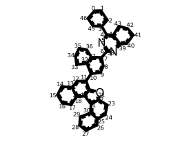 c1ccc(-c2nc(-c3ccc(-c4cc5ccccc5c5c4oc4ccc6ccccc6c45)c4ccccc34)nc3ccccc23)cc1